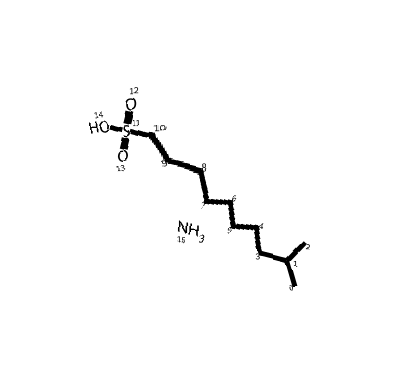 CC(C)CCCCCCCCS(=O)(=O)O.N